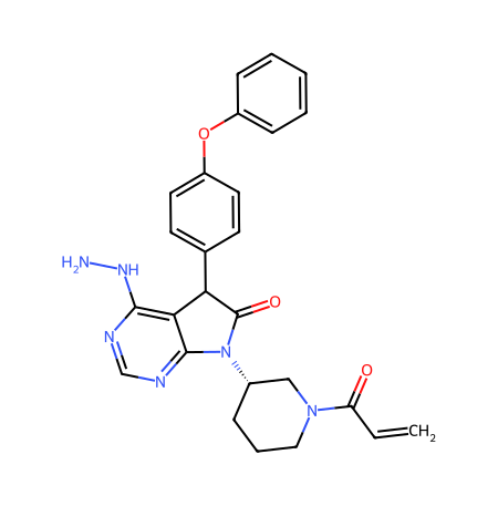 C=CC(=O)N1CCC[C@H](N2C(=O)C(c3ccc(Oc4ccccc4)cc3)c3c(NN)ncnc32)C1